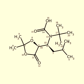 CC(C)C[C@@H]([C@@H]1OC(C)(C)OC1=O)N(C(=O)O)C(C)(C)C